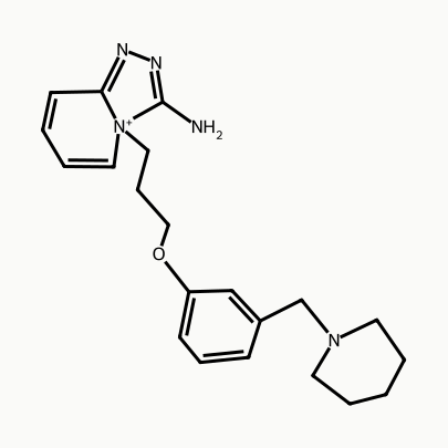 NC1=NN=C2C=CC=C[N+]12CCCOc1cccc(CN2CCCCC2)c1